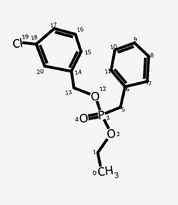 CCOP(=O)(Cc1[c]cccc1)OCc1cccc(Cl)c1